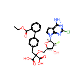 CCOC(=O)c1ccccc1-c1ccc(CC(OC[C@H]2O[C@@H](n3ccc4c(N)nc(Cl)nc43)[C@@H](F)[C@@H]2O)(C(=O)O)C(=O)O)cc1